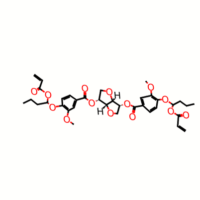 C=CC(=O)OC(CCC)Oc1ccc(C(=O)O[C@@H]2CO[C@H]3[C@@H]2OC[C@H]3OC(=O)c2ccc(OC(CCC)OC(=O)C=C)c(OC)c2)cc1OC